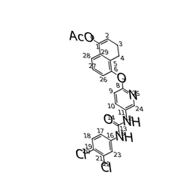 CC(=O)OC1=CCCc2c(Oc3ccc(NC(=O)Nc4ccc(Cl)c(Cl)c4)cn3)cccc21